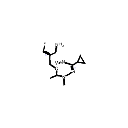 CN/C(=N\N(C)C(C)OC/C(=C/F)CN)C1CC1